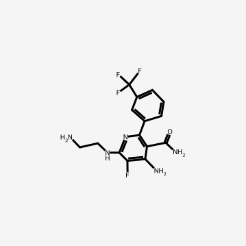 NCCNc1nc(-c2cccc(C(F)(F)F)c2)c(C(N)=O)c(N)c1F